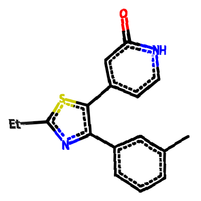 CCc1nc(-c2cccc(C)c2)c(-c2cc[nH]c(=O)c2)s1